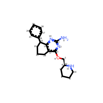 Nc1nc(OC[C@@H]2CCCCN2)c2c(n1)C(c1ccccc1)CCC2